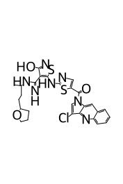 CC(CCC1CCCO1)NC(=N)c1c(O)nsc1Nc1ncc(C(=O)n2cc(Cl)c3nc4ccccc4cc32)s1